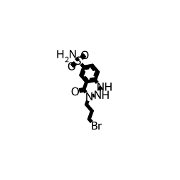 NS(=O)(=O)c1ccc2c(c1)C(=O)N(CCCBr)NN2